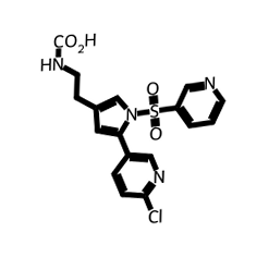 O=C(O)NCCc1cc(-c2ccc(Cl)nc2)n(S(=O)(=O)c2cccnc2)c1